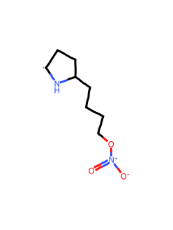 O=[N+]([O-])OCCCCC1CC[CH]N1